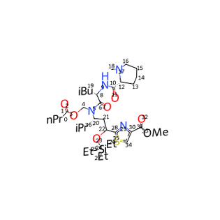 CCCC(=O)OCN(C(=O)C(NC(=O)[C@H]1CCCCN1C)[C@@H](C)CC)[C@H](CC(O[Si](CC)(CC)CC)c1nc(C(=O)OC)cs1)C(C)C